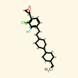 C=CC1CCC(C2CCC(CCc3ccc(C4CO4)c(Cl)c3F)CC2)CC1